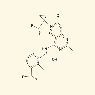 Cc1nc(N[C@H](O)c2cccc(C(F)F)c2C)c2cn(C3(C(F)F)CC3)c(=O)cc2n1